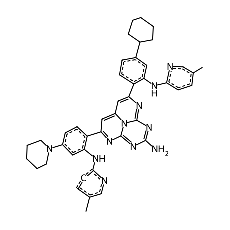 Cc1ccc(Nc2cc(C3CCCCC3)ccc2C2=CC3=CC(c4ccc(N5CCCCC5)cc4Nc4ccc(C)cn4)=NC4=NC(N)=NC(=N2)N34)nc1